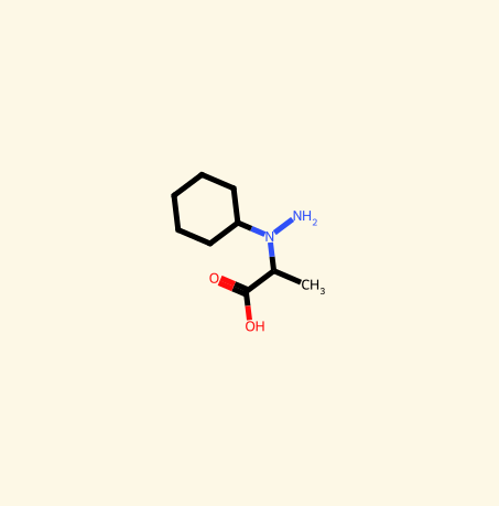 CC(C(=O)O)N(N)C1CCCCC1